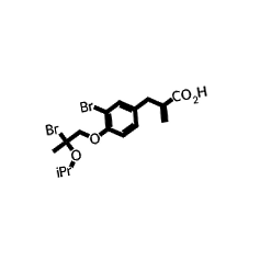 C=C(Cc1ccc(OCC(C)(Br)OC(C)C)c(Br)c1)C(=O)O